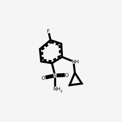 NS(=O)(=O)c1ccc(F)cc1NC1CC1